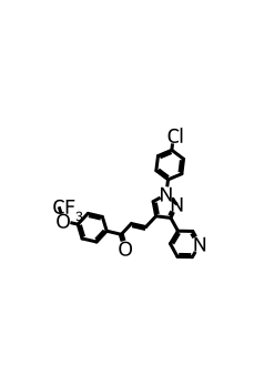 O=C(C=Cc1cn(-c2ccc(Cl)cc2)nc1-c1cccnc1)c1ccc(OC(F)(F)F)cc1